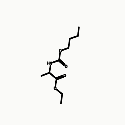 CCCCOC(=O)NC(C)C(=O)OCC